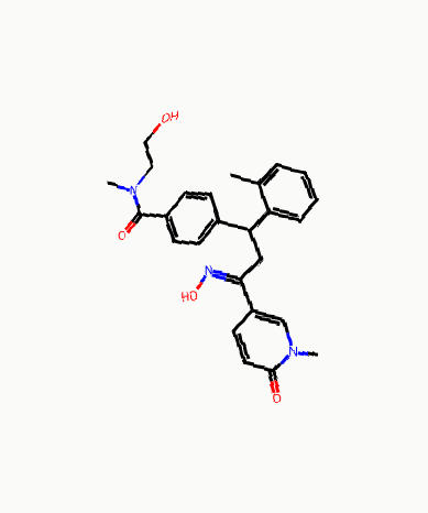 Cc1ccccc1C(CC(=NO)c1ccc(=O)n(C)c1)c1ccc(C(=O)N(C)CCO)cc1